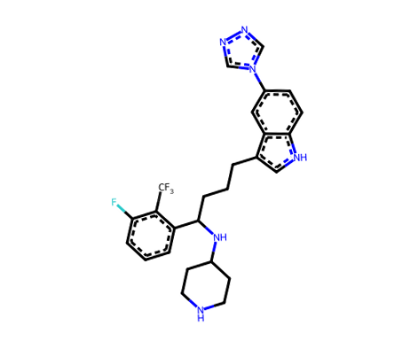 Fc1cccc(C(CCCc2c[nH]c3ccc(-n4cnnc4)cc23)NC2CCNCC2)c1C(F)(F)F